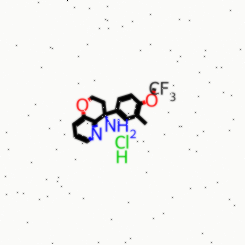 Cc1cc([C@@]2(N)CCOc3cccnc32)ccc1OC(F)(F)F.Cl